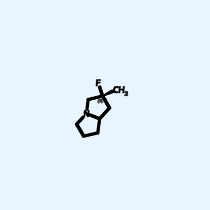 C[C@@]1(F)CC2CCCN2C1